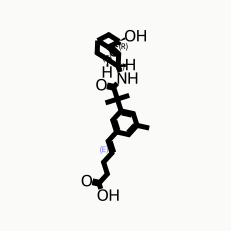 Cc1cc(/C=C/CCC(=O)O)cc(C(C)(C)C(=O)N[C@H]2C=C3C4C[C@H]2C[C@]3(O)C4)c1